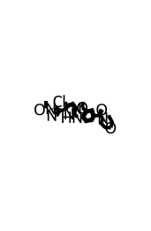 COc1cc(C(=O)N2CCOCC2)ccc1Nc1ncc(Cl)c(-c2cnn(C(C)=O)c2)n1